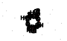 CCCN(C(=O)[C@@H](NC(=O)[C@H](C)N(C)C(=O)OC(C)(C)C)C(C)(C)C)[C@@H]1C(=O)N[C@@H](Cc2ccc3ccccc3c2)C(=O)N[C@H](C(=O)O)Cc2ccc(cc2)OCc2cn(nn2)C2CCN(C(=O)[C@@H](NC(=O)[C@H](C)N(C)C(=O)OC(C)(C)C)C(C)(C)C)[C@@H]2C(=O)N[C@@H](Cc2ccc3ccccc3c2)C(=O)N[C@H](C(=O)OC)Cc2ccc(cc2)OCc2cn1nn2